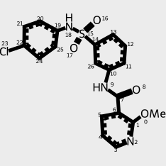 COc1ncccc1C(=O)Nc1cccc(S(=O)(=O)Nc2ccc(Cl)cc2)c1